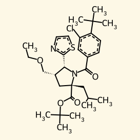 CCOC[C@H]1C[C@@](CC(C)C)(C(=O)OC(C)(C)C)N(C(=O)c2ccc(C(C)(C)C)c(Cl)c2)[C@H]1c1nccs1